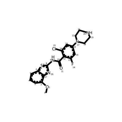 COc1cccc2sc(NC(=O)c3c(F)cc(N4CCNCC4)cc3Cl)nc12